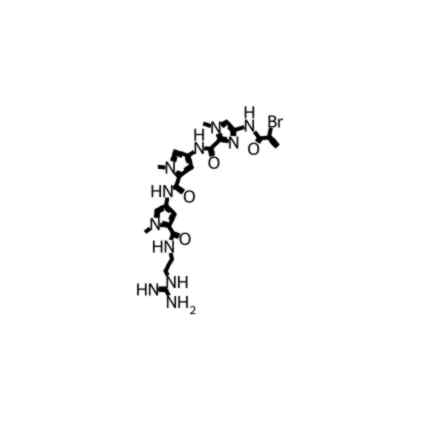 C=C(Br)C(=O)Nc1cn(C)c(C(=O)Nc2cc(C(=O)Nc3cc(C(=O)NCCNC(=N)N)n(C)c3)n(C)c2)n1